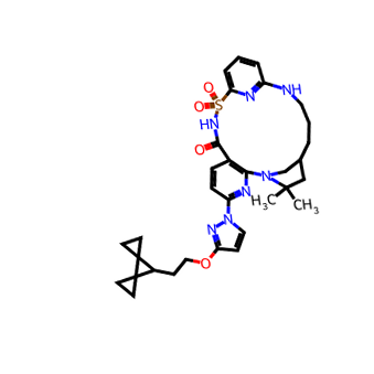 CC1(C)CC2CCCNc3cccc(n3)S(=O)(=O)NC(=O)c3ccc(-n4ccc(OCCC5C6(CC6)C56CC6)n4)nc3N1C2